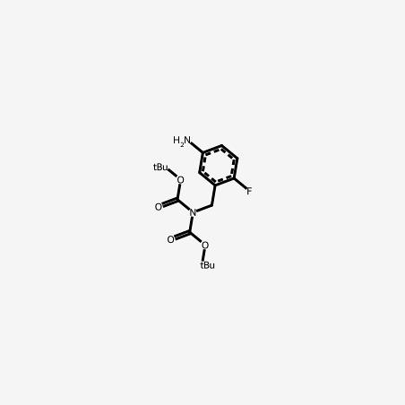 CC(C)(C)OC(=O)N(Cc1cc(N)ccc1F)C(=O)OC(C)(C)C